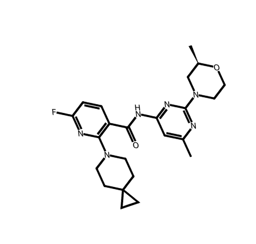 Cc1cc(NC(=O)c2ccc(F)nc2N2CCC3(CC2)CC3)nc(N2CCO[C@H](C)C2)n1